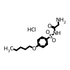 CCCCCOc1ccc(S(=O)(=O)NC(=O)CN)cc1.Cl